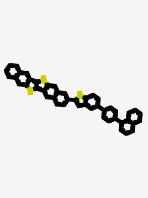 c1ccc2cc3c(cc2c1)sc1c2cc4ccc(-c5cc6cc(-c7ccc(-c8cccc9ccccc89)cc7)ccc6s5)cc4cc2sc31